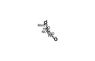 COc1ccc(C)cc1CCC(=O)Nc1sc2c(c1C#N)CCN(C(=O)NCCc1ccccn1)C2